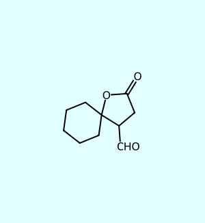 O=CC1CC(=O)OC12CCCCC2